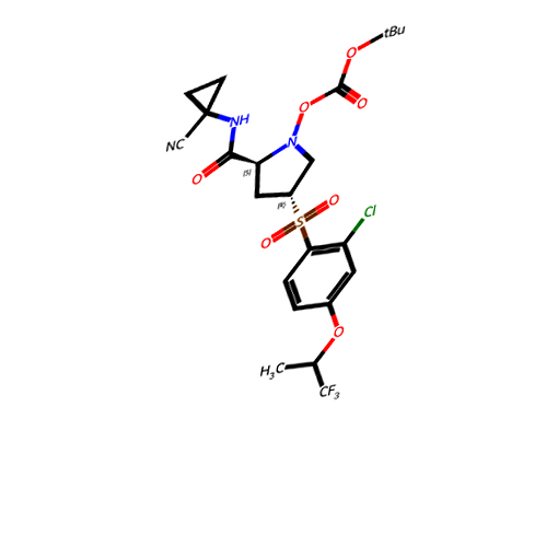 CC(Oc1ccc(S(=O)(=O)[C@@H]2C[C@@H](C(=O)NC3(C#N)CC3)N(OC(=O)OC(C)(C)C)C2)c(Cl)c1)C(F)(F)F